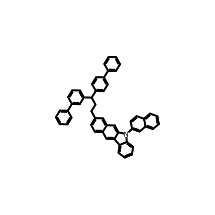 c1ccc(-c2ccc(C(CCc3ccc4cc5c6ccccc6n(-c6ccc7ccccc7c6)c5cc4c3)c3cccc(-c4ccccc4)c3)cc2)cc1